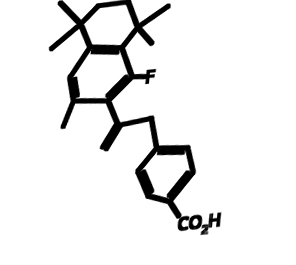 C=C(Cc1ccc(C(=O)O)cc1)c1c(C)cc2c(c1F)C(C)(C)CCC2(C)C